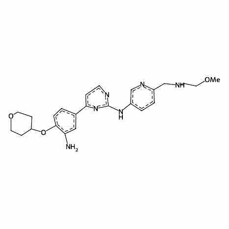 COCCNCc1ccc(Nc2nccc(-c3ccc(OC4CCOCC4)c(N)c3)n2)cn1